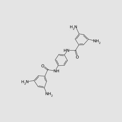 Nc1cc(N)cc(C(=O)Nc2ccc(NC(=O)c3cc(N)cc(N)c3)cc2)c1